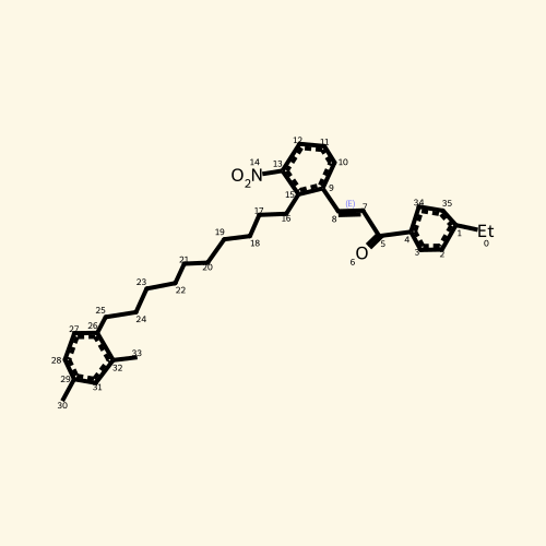 CCc1ccc(C(=O)/C=C/c2cccc([N+](=O)[O-])c2CCCCCCCCCCc2ccc(C)cc2C)cc1